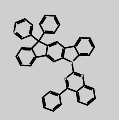 c1ccc(-c2nc(-n3c4ccccc4c4cc5c(cc43)-c3ccccc3C5(c3ccccc3)c3cccnc3)nc3ccccc23)cc1